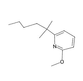 CCCCC(C)(C)c1cccc(OC)n1